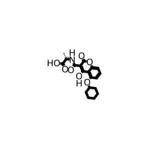 C[C@H](NC(=O)c1c(O)c2c(OC3CCCCC3)cccc2oc1=O)C(=O)O